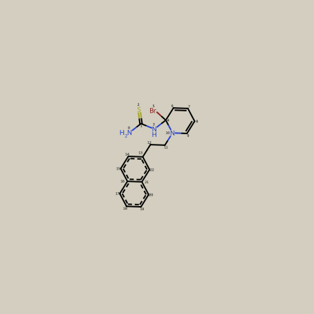 NC(=S)NC1(Br)C=CC=CN1CCc1ccc2ccccc2c1